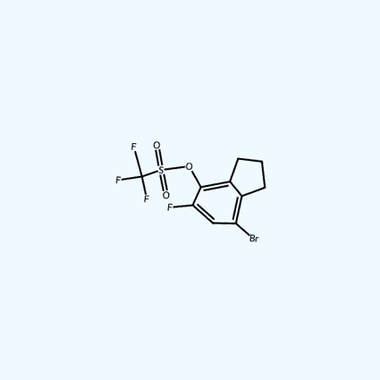 O=S(=O)(Oc1c(F)cc(Br)c2c1CCC2)C(F)(F)F